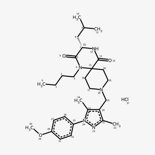 CCCCN1C(=O)[C@H](CC(C)C)NC(=O)C12CCN(Cc1c(C)nn(-c3ccc(OC)cc3)c1C)CC2.Cl